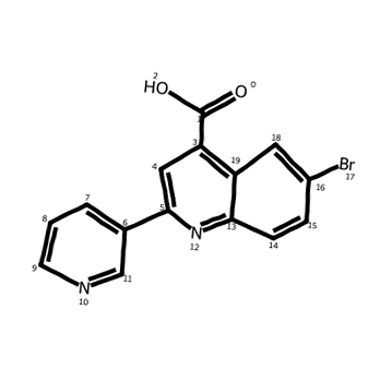 O=C(O)c1cc(-c2cccnc2)nc2ccc(Br)cc12